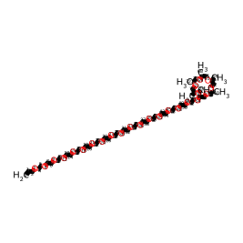 C=CCOCCOCCOCCOCCOCCOCCOCCOCCOCCOCCOCCOCCOCCOCCOCCOCCOCCOCCOCC(C)OCC(C)OCC(C)OCC(C)OCC(C)OC